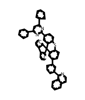 c1ccc(-c2cc(-c3ccccc3)nc(-c3ccc4c(c3)C3(c5cc(-c6cccc(-c7nccc8ccccc78)c6)ccc5S4)c4ccccc4-c4ccccc43)n2)cc1